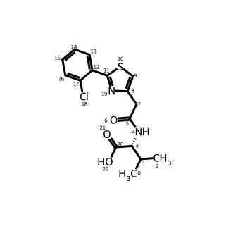 CC(C)[C@@H](NC(=O)Cc1csc(-c2ccccc2Cl)n1)C(=O)O